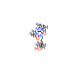 [2H]c1nc2c(c(=O)n(CCCC([2H])([2H])C([2H])([2H])O)c(=O)n2C([2H])([2H])[2H])n1C([2H])([2H])[2H]